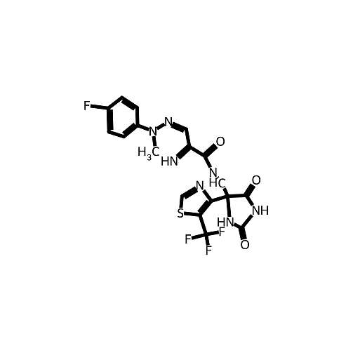 CN(/N=C\C(=N)C(=O)NCC1(c2ncsc2C(F)(F)F)NC(=O)NC1=O)c1ccc(F)cc1